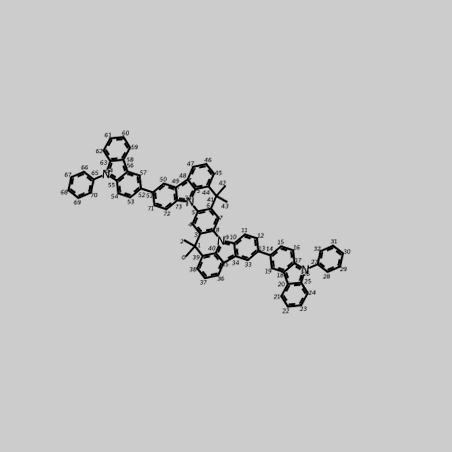 CC1(C)c2cc3c(cc2-n2c4ccc(-c5ccc6c(c5)c5ccccc5n6-c5ccccc5)cc4c4cccc1c42)C(C)(C)c1cccc2c4cc(-c5ccc6c(c5)c5ccccc5n6-c5ccccc5)ccc4n-3c12